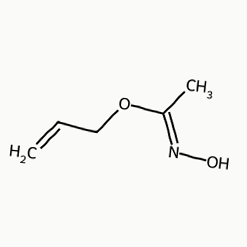 C=CCOC(C)=NO